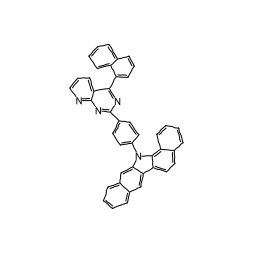 c1ccc2cc3c(cc2c1)c1ccc2ccccc2c1n3-c1ccc(-c2nc(-c3cccc4ccccc34)c3cccnc3n2)cc1